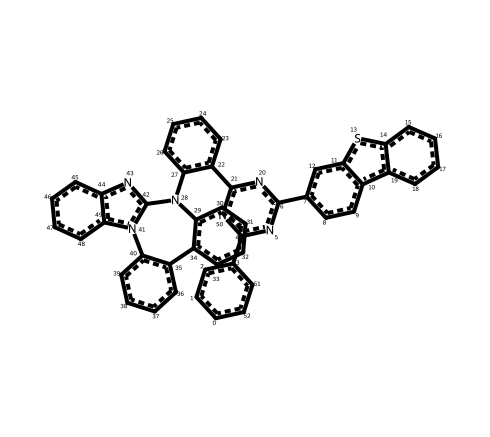 c1ccc(-c2nc(-c3ccc4c(c3)sc3ccccc34)nc(-c3ccccc3N3c4ccccc4-c4ccccc4-n4c3nc3ccccc34)n2)cc1